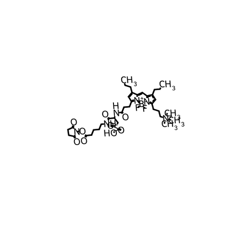 CCCC1=CC(CCC(=O)NC(CS(=O)(=O)O)C(=O)NCCCCC(=O)ON2C(=O)CCC2=O)=[N+]2C1=Cc1c(CCC)cc(CCC[N+](C)(C)C)n1[B-]2(F)F